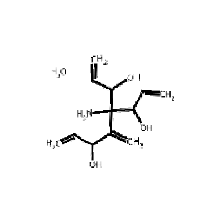 C=CC(O)C(=C)C(N)(C(O)C=C)C(O)C=C.O